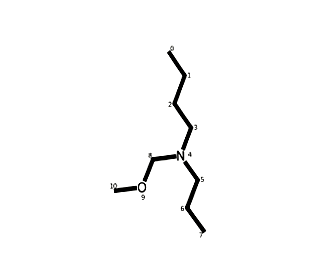 CCCCN(CCC)COC